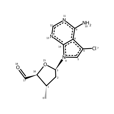 C[C@H]1C[C@H](n2cc(Cl)c3c(N)ncnc32)O[C@@H]1C=O